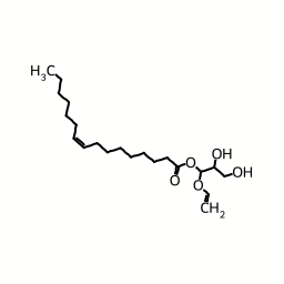 C=COC(OC(=O)CCCCCCC/C=C\CCCCCC)C(O)CO